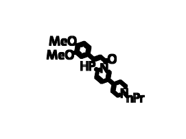 CCCN1CC=C(C2=CN3C(=O)C=C(c4ccc(OC)c(OC)c4)PC3C=C2)CC1